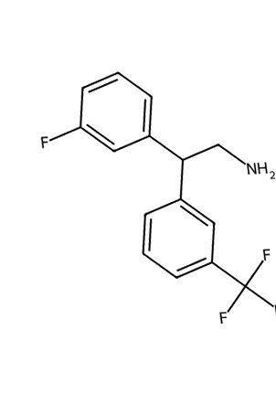 NCC(c1cccc(F)c1)c1cccc(C(F)(F)F)c1